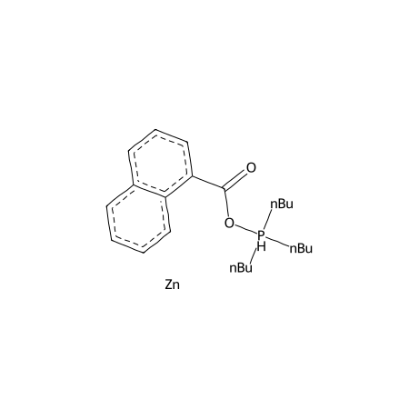 CCCC[PH](CCCC)(CCCC)OC(=O)c1cccc2ccccc12.[Zn]